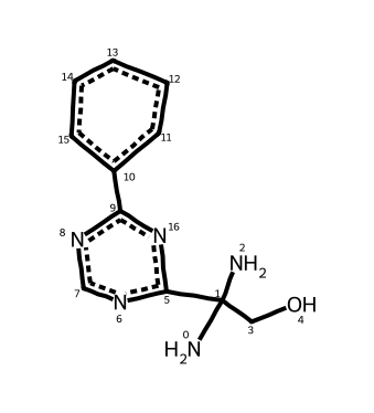 NC(N)(CO)c1ncnc(-c2ccccc2)n1